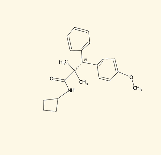 COc1ccc([C@@H](c2ccccc2)C(C)(C)C(=O)NC2CCC2)cc1